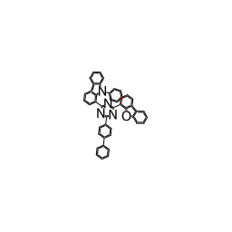 c1ccc(-c2ccc(-c3nc(-c4cccc5c4oc4ccccc45)nc(-c4cccc5c6ccccc6n(-c6ccccc6)c45)n3)cc2)cc1